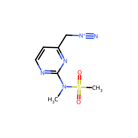 CN(c1nccc(C[N+]#N)n1)S(C)(=O)=O